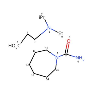 CCN(CCC(=O)O)C(C)C.NC(=O)N1CCCCCC1